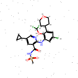 CS(=O)(=O)NC(=O)c1cc(C2CC2)cnc1Nc1cc(F)cc(C2CCOCC2)c1OC(F)F